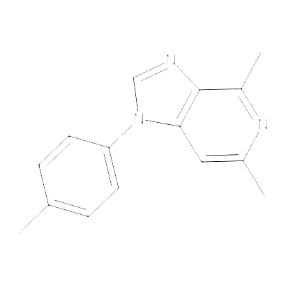 Cc1ccc(-n2cnc3c(C)nc(C)cc32)cc1